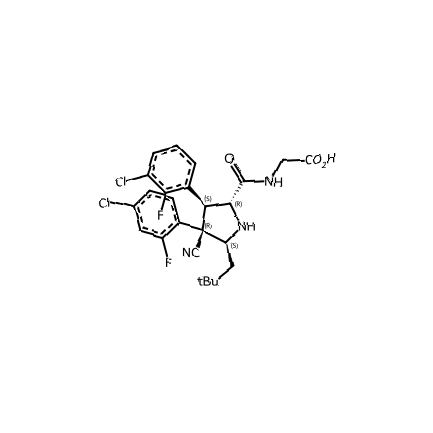 CC(C)(C)C[C@@H]1N[C@@H](C(=O)NCC(=O)O)[C@H](c2cccc(Cl)c2F)[C@@]1(C#N)c1ccc(Cl)cc1F